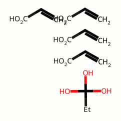 C=CC(=O)O.C=CC(=O)O.C=CC(=O)O.C=CC(=O)O.CCC(O)(O)O